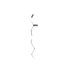 CCCCOCC(=O)N=O